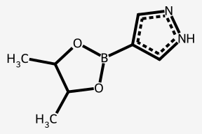 CC1OB(c2cn[nH]c2)OC1C